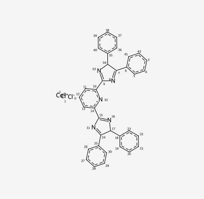 [Cl-].[Cl-].[Co+2].c1ccc(C2=NC(c3cccc(C4=NC(c5ccccc5)C(c5ccccc5)=N4)n3)=NC2c2ccccc2)cc1